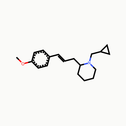 COc1ccc(/C=C/CC2CCCCN2CC2CC2)cc1